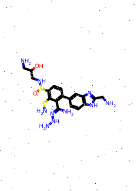 NCc1nc2cc(-c3ccc([S+]([O-])NCC(O)CN)c(SN)c3/C(N)=N/NN)ccc2[nH]1